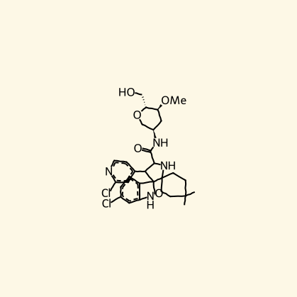 CO[C@H]1C[C@@H](NC(=O)C2NC3(CCC(C)(C)CC3)C3(C(=O)Nc4cc(Cl)ccc43)C2c2ccnc(Cl)c2)CO[C@@H]1CO